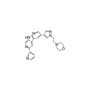 c1cncc(-c2cc3c(cn2)[nH]c2ncc(-c4cnn(CCN5CCOCC5)c4)cc23)c1